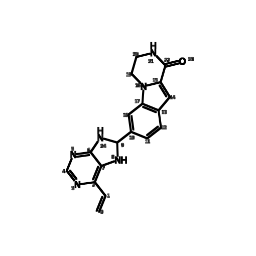 C=Cc1ncnc2c1NC(c1ccc3cc4n(c3c1)CCNC4=O)N2